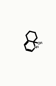 OC12CCCCC1=CC=CN2